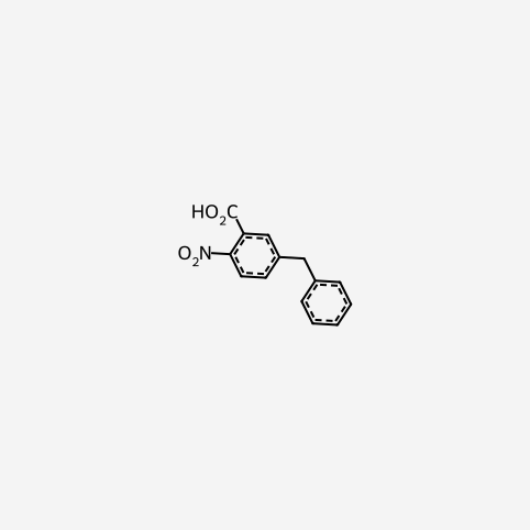 O=C(O)c1cc(Cc2ccccc2)ccc1[N+](=O)[O-]